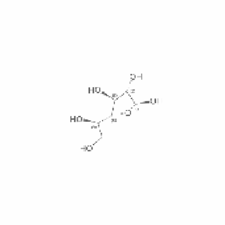 OC[C@@H](O)[C@H]1O[C@H](O)[C@@H](O)[C@@H]1O